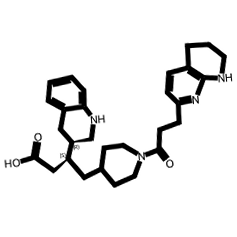 O=C(O)C[C@H](CC1CCN(C(=O)CCc2ccc3c(n2)NCCC3)CC1)[C@@H]1CNc2ccccc2C1